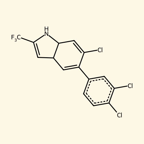 FC(F)(F)C1=CC2C=C(c3ccc(Cl)c(Cl)c3)C(Cl)=CC2N1